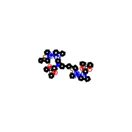 c1ccc2c(c1)Oc1cc(-n3c4ccc(-c5ccc6c(c5)sc5c(-n7c8ccccc8n8c9ccc%10c%11ccccc%11n(-c%11cc%12c%13c(c%11)Oc%11ccccc%11B%13c%11ccccc%11O%12)c%10c9nc78)cccc56)cc4c4cc(-n5c6ccccc6c6ccc7c(nc8n(-c9cccc%10c9sc9ccccc9%10)c9ccccc9n78)c65)ccc43)cc3c1B2c1ccccc1O3